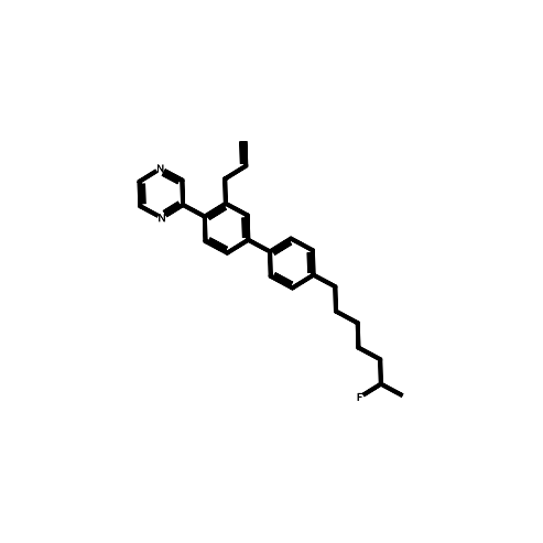 C=CCc1cc(-c2ccc(CCCCCC(C)F)cc2)ccc1-c1cnccn1